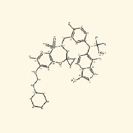 Cc1ccc([C@@H](c2ccn3c(C(F)(F)F)nnc3c2C)C(C)(C)C(=O)O)cc1CN1CC2(CC2)Oc2nc(OCCN3CCCCC3)c(C)cc2S1(=O)=O